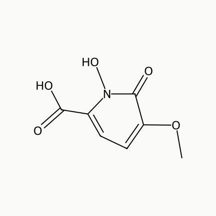 COc1ccc(C(=O)O)n(O)c1=O